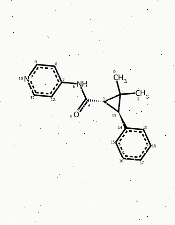 CC1(C)[C@@H](C(=O)Nc2ccncc2)[C@@H]1c1ccccc1